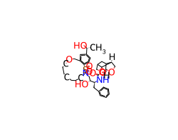 C[C@@H](O)c1ccc2c(c1)COCCCCCCCN(C[C@@H](O)[C@H](Cc1ccccc1)NC(=O)O[C@H]1C3CO[C@H]4OC[C@@H]1C4C3)S2(=O)=O